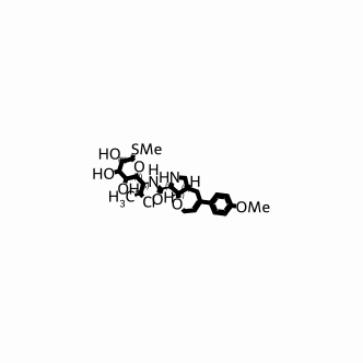 COc1ccc(C2=CCO[C@@H]3[C@H](CN[C@@H]3C(=O)N[C@H]([C@H](C)Cl)[C@H]3OC(SC)[C@H](O)C(O)C3O)C2)cc1